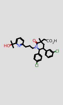 CC1(CC(=O)O)CC(c2cccc(Cl)c2)C(c2ccc(Cl)cc2)N(CCCc2cccc(C(C)(C)O)n2)C1=O